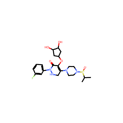 CC(C)[S+]([O-])N1CCN(C2=C(OC3CC(O)C(O)C3)C(=O)N(c3cccc(F)c3)NC2)CC1